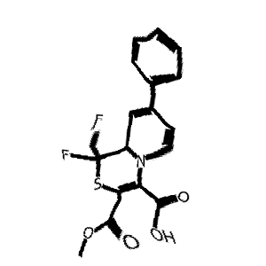 COC(=O)C1=C(C(=O)O)N2C=CC(c3ccccc3)=CC2C(F)(F)S1